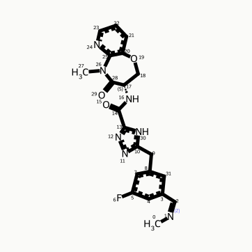 C/N=C\c1cc(F)cc(Cc2nnc(C(=O)N[C@H]3COc4cccnc4N(C)C3=O)[nH]2)c1